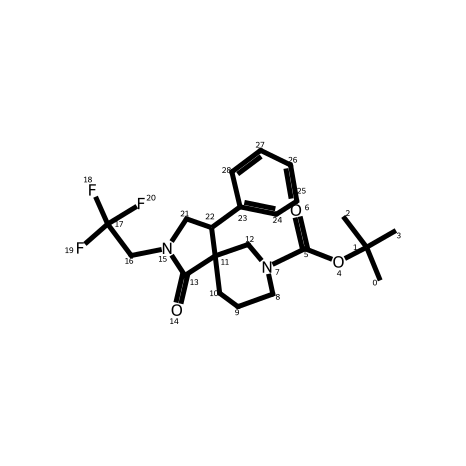 CC(C)(C)OC(=O)N1CCCC2(C1)C(=O)N(CC(F)(F)F)CC2c1ccccc1